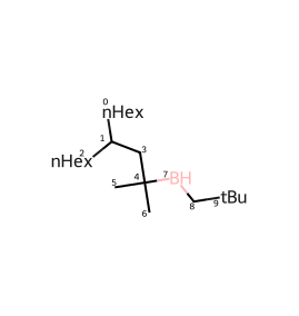 CCCCCCC(CCCCCC)CC(C)(C)BCC(C)(C)C